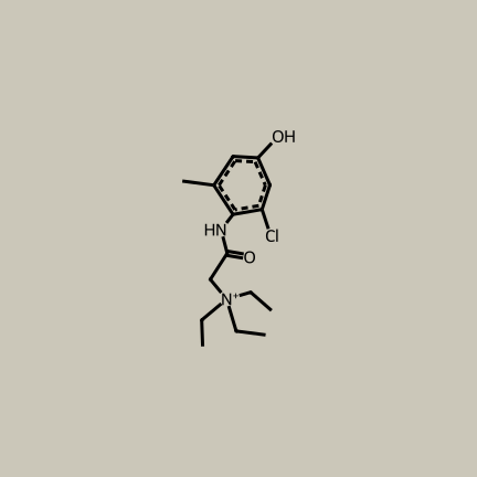 CC[N+](CC)(CC)CC(=O)Nc1c(C)cc(O)cc1Cl